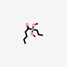 CCCCC(=O)[Si](CCC)(OC)OC